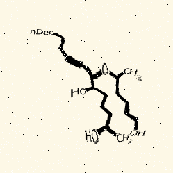 CCCCCCCCCCCCC#CC(OC(C)CCCCO)C(O)CCCC(C)O